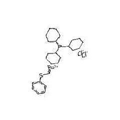 C1CCC(P(C2CCCCC2)C2CCCCC2)CC1.[Cl-].[Cl-].[Ru+2]=[CH]Sc1ccccc1